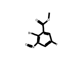 COC(=O)c1cc(F)cc(N=O)c1Br